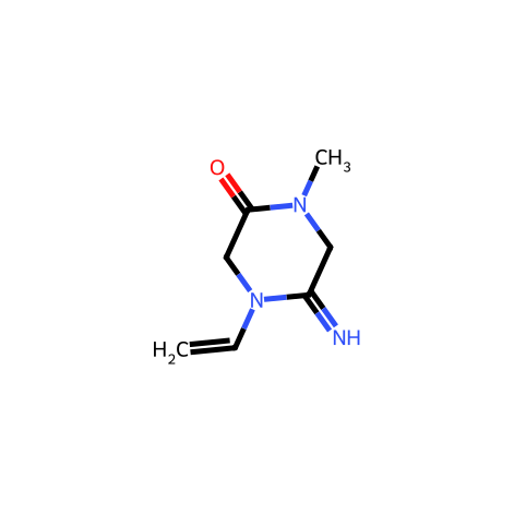 C=CN1CC(=O)N(C)CC1=N